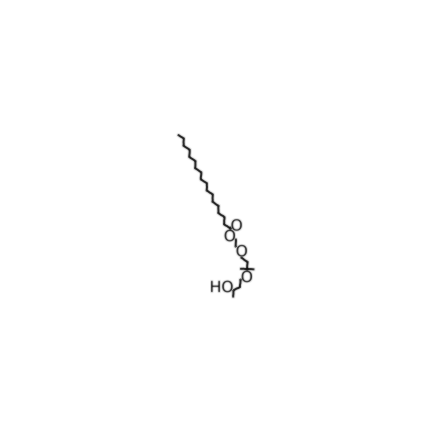 CCCCCCCCCCCCCCCCCC(=O)OCCOCCC(C)(C)OCCC(C)O